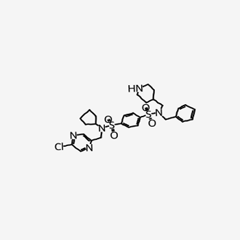 O=S(=O)(c1ccc(S(=O)(=O)N(Cc2cnc(Cl)cn2)C2CCCC2)cc1)N(Cc1ccccc1)CC1CCNCC1